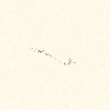 CC(C)(C)CC[C@H](NC(=O)COc1cccc(Oc2ccc(C(=O)NCCOCCOCCOCCOCCOCCOc3ncc(-c4ccc5c(n4)N(Cc4cccnc4C#N)C(C)(C)C5=O)cn3)cn2)c1)C(=O)O